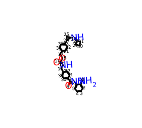 Nc1ccccc1NC(=O)c1ccc(CNC(=O)OCc2ccc(C3C[C@@H]3NC3CCC3)cc2)cc1